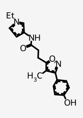 CCn1ccc(NC(=O)CCc2onc(-c3ccc(O)cc3)c2C)c1